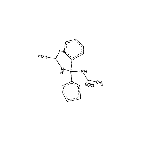 CCCCCCCCC(C)NC(NC(C)CCCCCCCC)(c1ccccc1)c1ccccc1